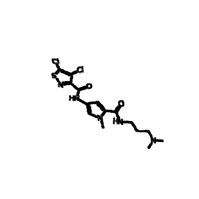 CN(C)CCCNC(=O)c1cc(NC(=O)c2nsc(Cl)c2Cl)cn1C